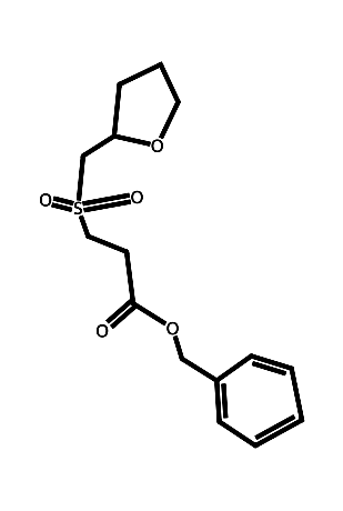 O=C(CCS(=O)(=O)CC1CCCO1)OCc1ccccc1